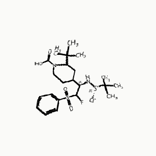 CC(C)(C)C1CC([C@@H](N[S@@+]([O-])C(C)(C)C)C(F)S(=O)(=O)c2ccccc2)CCN1C(=O)O